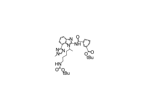 CC(CCCCNC(=O)OC(C)(C)C)n1c(NC(=O)c2cccc(C(=O)OC(C)(C)C)c2)nc2cccc(-c3ncn(C)n3)c21